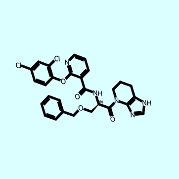 O=C(N[C@H](COCc1ccccc1)C(=O)N1CCCc2[nH]cnc21)c1cccnc1Oc1ccc(Cl)cc1Cl